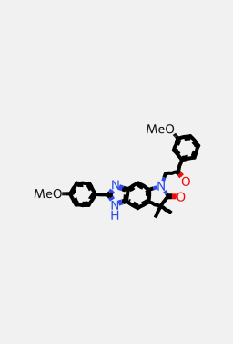 COc1ccc(-c2nc3cc4c(cc3[nH]2)C(C)(C)C(=O)N4CC(=O)c2cccc(OC)c2)cc1